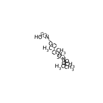 Cc1c(OCCCN2CCC3(CCC3O)CC2)cccc1-c1cccc(-c2nc3c(s2)CN(C(=O)OC(C)(C)C)CC3)c1C